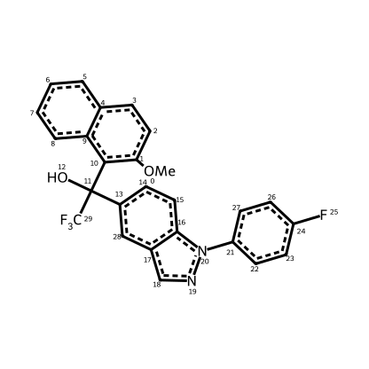 COc1ccc2ccccc2c1C(O)(c1ccc2c(cnn2-c2ccc(F)cc2)c1)C(F)(F)F